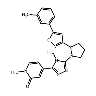 Cc1cccc(-c2cc(C3CCCN3c3nnc(-c4ccn(C)c(=O)c4)n3C)no2)c1